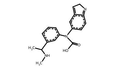 CNC(C)c1cccc(N(C(=O)O)c2ccc3c(c2)=CCN=3)c1